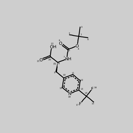 CC(C)(C)OC(=O)N[C@@H](Cc1ccc(C(C)(F)F)nc1)C(=O)O